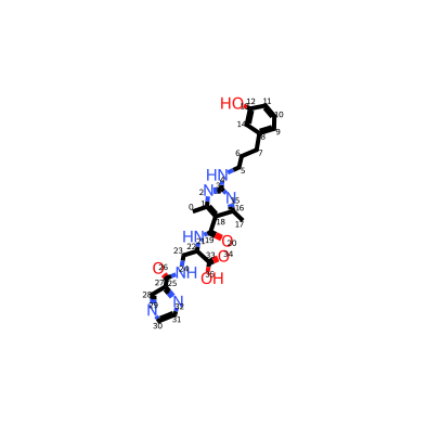 Cc1nc(NCCCc2cccc(O)c2)nc(C)c1C(=O)NC(CNC(=O)c1cnccn1)C(=O)O